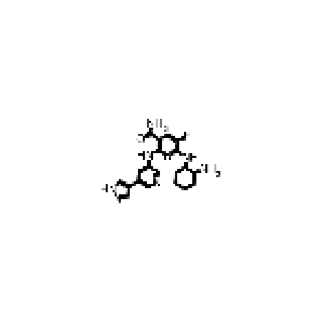 NC(=O)c1cc(F)c(NC2CCCCC2N)nc1Nc1cncc(-c2cn[nH]c2)c1